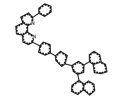 c1ccc(-c2ccc3ccc4ccc(-c5ccc(-c6ccc(-c7cc(-c8cccc9ccccc89)cc(-c8cccc9ccccc89)c7)cc6)cc5)nc4c3n2)cc1